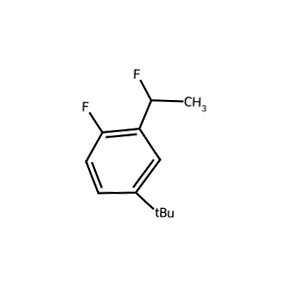 CC(F)c1cc(C(C)(C)C)ccc1F